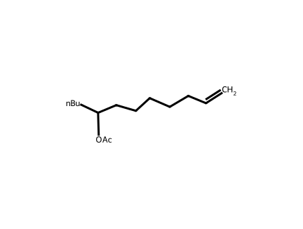 C=CCCCCCC(CCCC)OC(C)=O